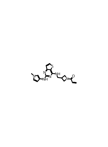 C=CC(=O)N1CC(CNc2nc(Nc3ccn(C)c3)nc3ccsc23)C1